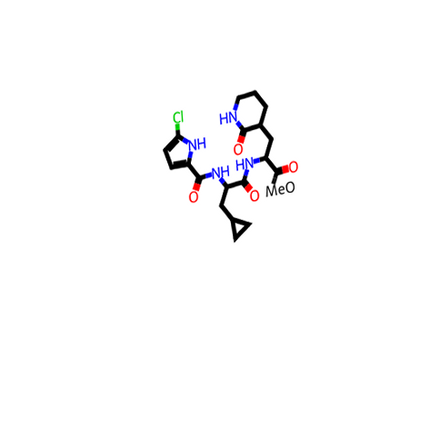 COC(=O)C(CC1CCCNC1=O)NC(=O)C(CC1CC1)NC(=O)c1ccc(Cl)[nH]1